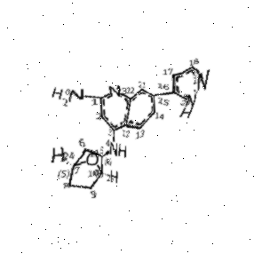 Nc1cc(N[C@@H]2C[C@@H]3CC[C@H]2O3)c2ccc(-c3ccn[nH]3)cc2n1